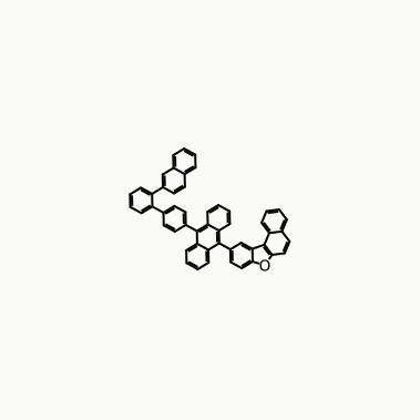 c1ccc(-c2ccc3ccccc3c2)c(-c2ccc(-c3c4ccccc4c(-c4ccc5oc6ccc7ccccc7c6c5c4)c4ccccc34)cc2)c1